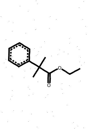 CCOC(=O)C(C)(C)c1[c]cccc1